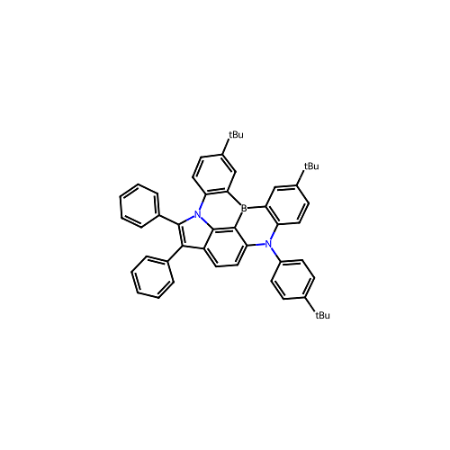 CC(C)(C)c1ccc(N2c3ccc(C(C)(C)C)cc3B3c4cc(C(C)(C)C)ccc4-n4c(-c5ccccc5)c(-c5ccccc5)c5ccc2c3c54)cc1